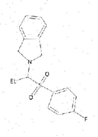 CCC(N1Cc2ccccc2C1)S(=O)(=O)c1ccc(F)cc1